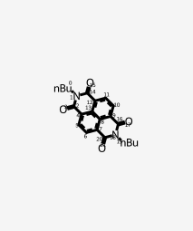 CCCCN1C(=O)c2ccc3c4c(ccc(c24)C1=O)C(=O)N(CCCC)C3=O